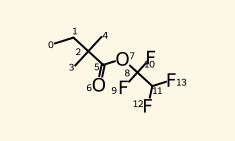 CCC(C)(C)C(=O)OC(F)(F)C(F)F